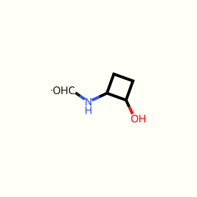 O=[C]NC1CCC1O